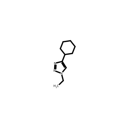 CCn1cc(C2CCCCC2)nn1